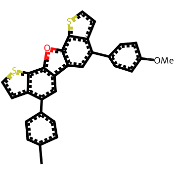 COc1ccc(-c2cc3c4cc(-c5ccc(C)cc5)c5ccsc5c4oc3c3sccc23)cc1